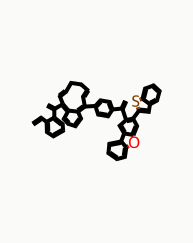 C=Cc1ccccc1C(=C)C1=c2\cccc\c2=C(c2ccc(C(=C)c3cc4c(cc3-c3cc5ccccc5s3)oc3ccccc34)cc2)\C=C\CC\C=C\1